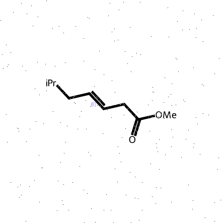 COC(=O)C/C=C/CC(C)C